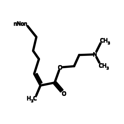 CCCCCCCCCCCCC=C(C)C(=O)OCCN(C)C